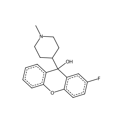 CN1CCC(C2(O)c3ccccc3Oc3ccc(F)cc32)CC1